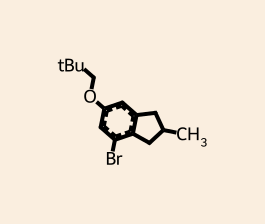 CC1Cc2cc(OCC(C)(C)C)cc(Br)c2C1